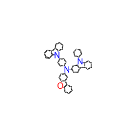 c1ccc2c3ccccc3n(-c3ccc(N(c4ccc5oc6ccccc6c5c4)c4ccc5c6ccccc6n(-c6ccccc6)c5c4)cc3)c2c#1